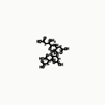 NC(CC(=O)O)C(=O)NC(CC(=O)O)C(=O)NC(CC(=O)O)C(=O)NC(CC(=O)O)C(=O)O